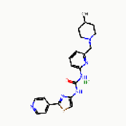 CC1CCN(Cc2cccc(NC(=O)Nc3csc(-c4ccncc4)n3)n2)CC1.Cl